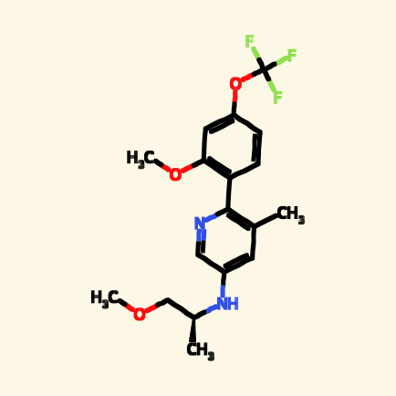 COC[C@H](C)Nc1cnc(-c2ccc(OC(F)(F)F)cc2OC)c(C)c1